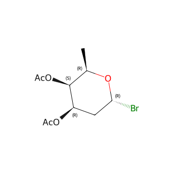 CC(=O)O[C@H]1[C@@H](C)O[C@H](Br)C[C@H]1OC(C)=O